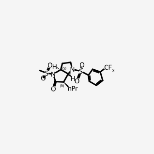 CCC[C@H]1C(=O)N(S(C)(=O)=O)[C@H]2CCN(S(=O)(=O)c3cccc(C(F)(F)F)c3)[C@H]12